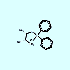 CC(C)(C)[Si](O[C@@H](C#N)[C@H](N)C#N)(c1ccccc1)c1ccccc1